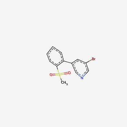 CS(=O)(=O)c1ccccc1-c1cncc(Br)c1